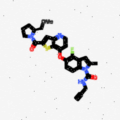 C#CCNC(=O)n1c(C)cc2c(F)c(Oc3ccnc4cc(C(=O)N5CCC[C@H]5COC)sc34)ccc21